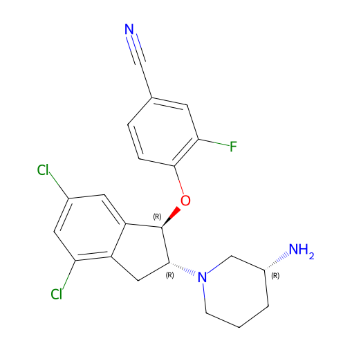 N#Cc1ccc(O[C@@H]2c3cc(Cl)cc(Cl)c3C[C@H]2N2CCC[C@@H](N)C2)c(F)c1